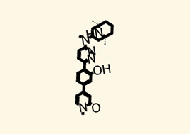 CN(c1ccc(-c2ccc(-c3ccn(C)c(=O)c3)cc2O)nn1)C1C[C@]2(C)CCC[C@](C)(C1)N2